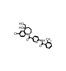 Cc1ccccc1C(=O)Nc1ccc(C(=O)N2CCCC(O)(CO)c3cc(Cl)ccc32)cn1